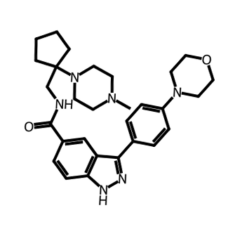 CN1CCN(C2(CNC(=O)c3ccc4[nH]nc(-c5ccc(N6CCOCC6)cc5)c4c3)CCCC2)CC1